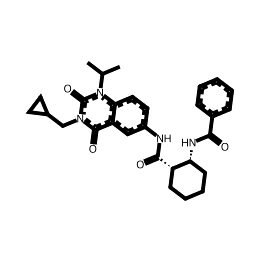 CC(C)n1c(=O)n(CC2CC2)c(=O)c2cc(NC(=O)[C@H]3CCCC[C@H]3NC(=O)c3ccccc3)ccc21